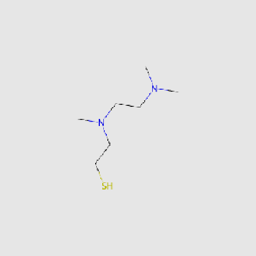 CN(C)CCN(C)CCS